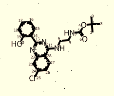 CC(C)(C)OC(=O)NCCNc1nc(-c2ccccc2O)nc2cc(Cl)ccc12